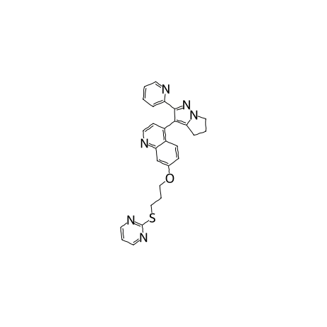 c1ccc(-c2nn3c(c2-c2ccnc4cc(OCCCSc5ncccn5)ccc24)CCC3)nc1